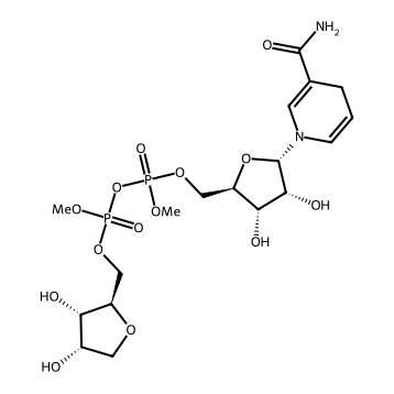 COP(=O)(OC[C@H]1O[C@H](N2C=CCC(C(N)=O)=C2)[C@H](O)[C@@H]1O)OP(=O)(OC)OC[C@H]1OC[C@H](O)[C@@H]1O